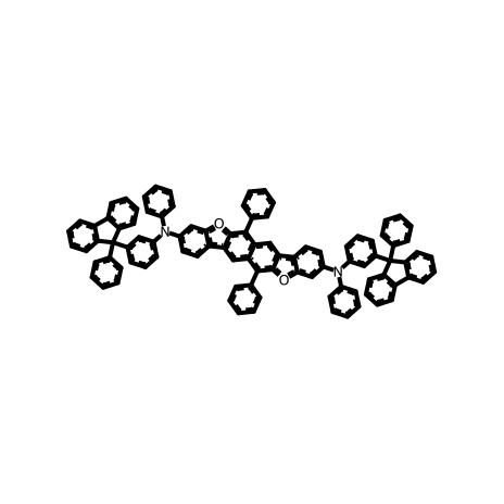 c1ccc(-c2c3cc4c(oc5cc(N(c6ccccc6)c6cccc(C7(c8ccccc8)c8ccccc8-c8ccccc87)c6)ccc54)c(-c4ccccc4)c3cc3c2oc2cc(N(c4ccccc4)c4cccc(C5(c6ccccc6)c6ccccc6-c6ccccc65)c4)ccc23)cc1